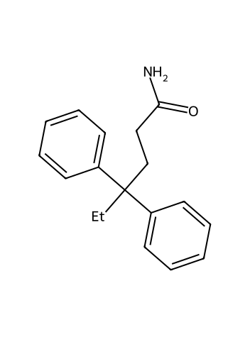 CCC(CCC(N)=O)(c1ccccc1)c1ccccc1